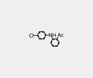 CC(=O)c1ccccc1Nc1ccc(Cl)cc1